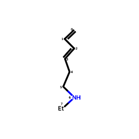 C=C/C=C/CCNCC